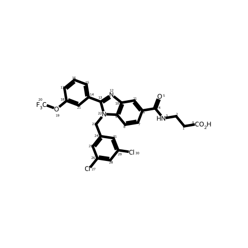 O=C(O)CCNC(=O)c1ccc2c(c1)nc(-c1cccc(OC(F)(F)F)c1)n2Cc1cc(Cl)cc(Cl)c1